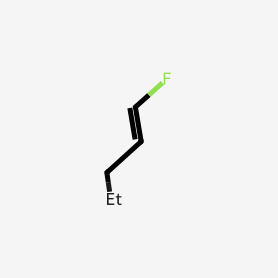 [CH2]CCC=CF